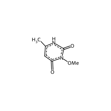 COn1c(=O)cc(C)[nH]c1=O